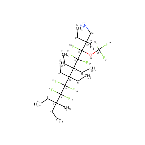 CCC(C)(CC)C(F)(F)C(F)(F)C(CC)(CC)C(CC)(CC)C(F)(F)C(F)(OC(F)(F)F)C(C)(CC)CN